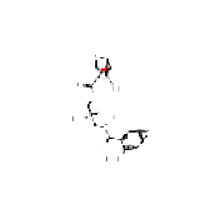 Cc1c(C(=O)OCC(C)(C)COC(=O)C2C(C)C3OC24CC3S4)c2oc1c1c2S1